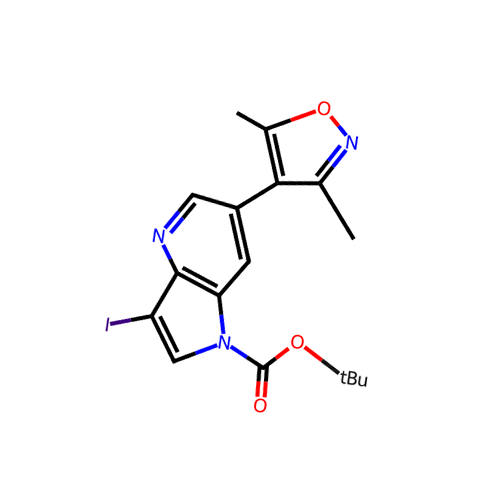 Cc1noc(C)c1-c1cnc2c(I)cn(C(=O)OC(C)(C)C)c2c1